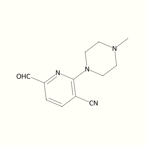 CN1CCN(c2nc(C=O)ccc2C#N)CC1